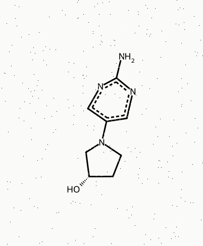 Nc1ncc(N2CC[C@H](O)C2)cn1